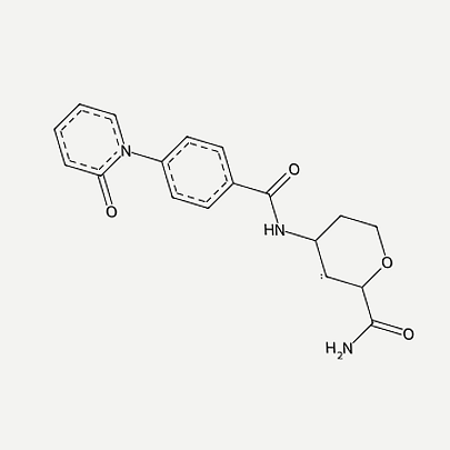 NC(=O)C1[C]C(NC(=O)c2ccc(-n3ccccc3=O)cc2)CCO1